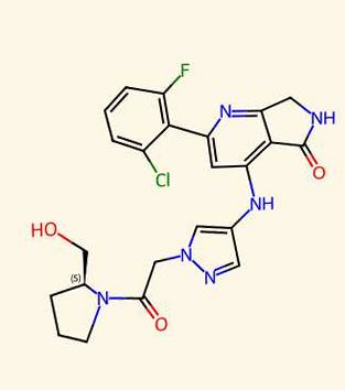 O=C1NCc2nc(-c3c(F)cccc3Cl)cc(Nc3cnn(CC(=O)N4CCC[C@H]4CO)c3)c21